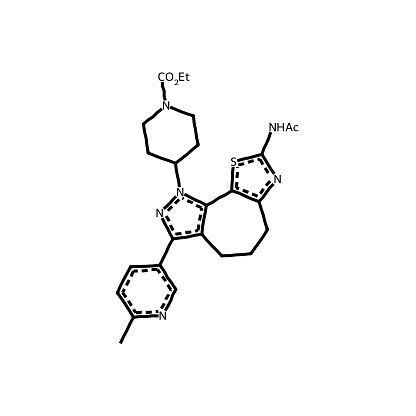 CCOC(=O)N1CCC(n2nc(-c3ccc(C)nc3)c3c2-c2sc(NC(C)=O)nc2CCC3)CC1